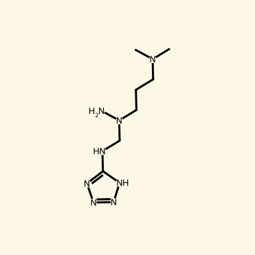 CN(C)CCCN(N)CNc1nnn[nH]1